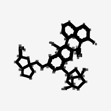 C#Cc1c(F)ccc2cccc(-c3c(Cl)cc4c(N5C[C@H]6CC[C@@H](C5)N6)nc(OCC56CCCN5CC(=C)C6)nc4c3F)c12